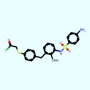 COc1c(Cc2ccc(SCC(=O)Cl)cc2)cccc1NS(=O)(=O)c1ccc(N)cc1